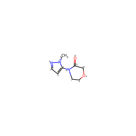 Cn1n[c]cc1N1CCOCC1=O